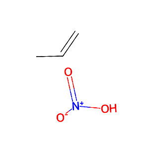 C=CC.O=[N+]([O-])O